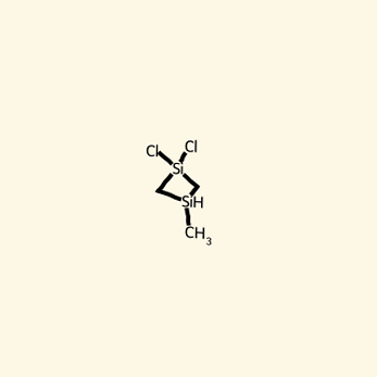 C[SiH]1C[Si](Cl)(Cl)C1